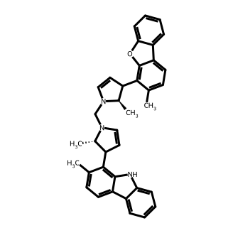 Cc1ccc2c([nH]c3ccccc32)c1C1C=CN(CN2C=CC(c3c(C)ccc4c3oc3ccccc34)[C@H]2C)[C@H]1C